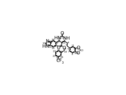 O=C1NC(CCc2ccc3c(c2)OCO3)=C(C(=O)OCc2cccc(C(F)(F)F)c2)C(c2ccc3[nH]cnc3c2)N1